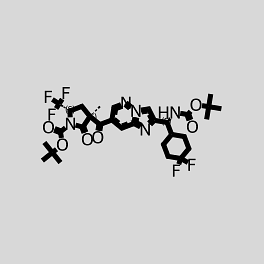 CC(C)(C)OC(=O)N[C@H](c1cn2ncc(C(=O)[C@]3(C)C[C@@H](C(F)(F)F)N(C(=O)OC(C)(C)C)C3=O)cc2n1)C1CCC(F)(F)CC1